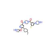 CCC1CCC(c2cc(C(=O)N3CCN(C(=O)c4cc(F)cc(N5CCNCC5)c4)CC3)cnc2O[C@H]2CCNC2)CC1